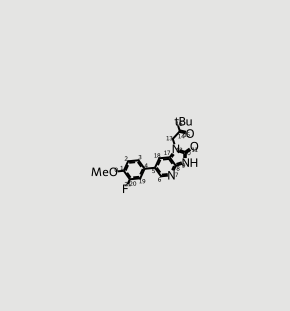 COc1ccc(-c2cnc3[nH]c(=O)n(CC(=O)C(C)(C)C)c3c2)cc1F